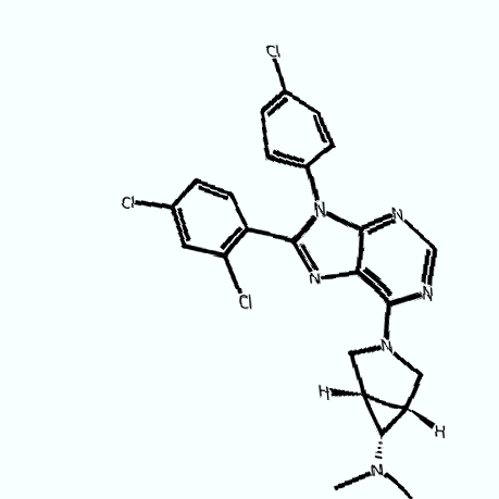 CN(C)[C@@H]1[C@@H]2CN(c3ncnc4c3nc(-c3ccc(Cl)cc3Cl)n4-c3ccc(Cl)cc3)C[C@@H]21